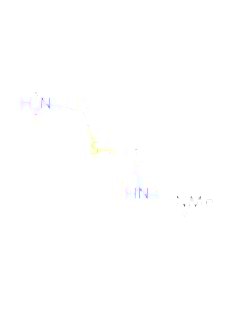 CNNCSCN